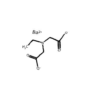 CCN(CC(=O)[O-])CC(=O)[O-].[Ba+2]